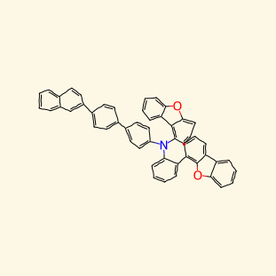 c1ccc(N(c2ccc(-c3ccc(-c4ccc5ccccc5c4)cc3)cc2)c2cccc3oc4ccccc4c23)c(-c2cccc3c2oc2ccccc23)c1